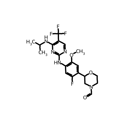 COc1cc(C2CN(C=O)CCO2)c(F)cc1Nc1ncc(C(F)(F)F)c(NC(C)C)n1